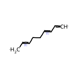 [CH]=C/C=C/CC/C=C/[CH2]